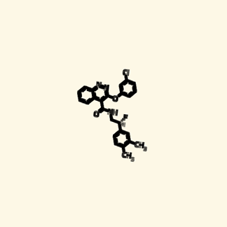 Cc1ccc([C@@H](F)CNC(=O)c2c(Oc3cccc(Cl)c3)nnc3ccccc23)cc1C